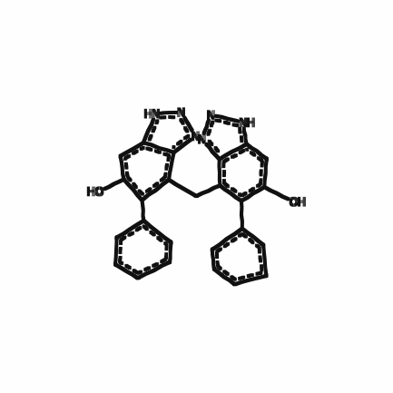 Oc1cc2[nH]nnc2c(Cc2c(-c3ccccc3)c(O)cc3[nH]nnc23)c1-c1ccccc1